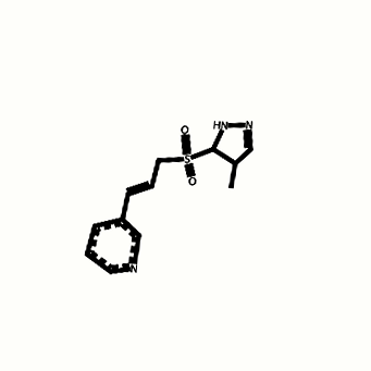 CC1C=NNC1S(=O)(=O)CC=Cc1cccnc1